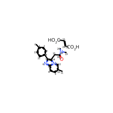 Cc1ccc(-c2nc3ccc(C)cn3c2CC(=O)N(C)C)cc1.O=C(O)C=CC(=O)O